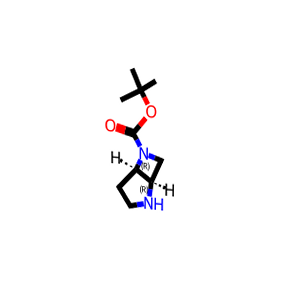 CC(C)(C)OC(=O)N1C[C@H]2NCC[C@H]21